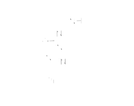 O=C1N(c2ncc(Br)cn2)CC2CNCCN12